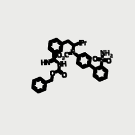 CC(C)C(Cc1cccc(C(=N)NC(=O)OCc2ccccc2)c1)N(C(=O)O)c1ccc(-c2ccccc2S(N)(=O)=O)cc1